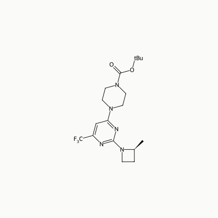 C[C@H]1CCN1c1nc(N2CCN(C(=O)OC(C)(C)C)CC2)cc(C(F)(F)F)n1